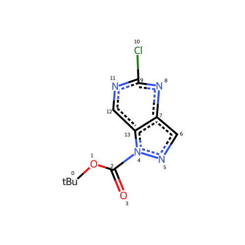 CC(C)(C)OC(=O)n1ncc2nc(Cl)ncc21